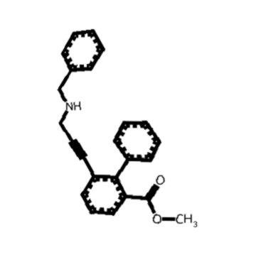 COC(=O)c1cccc(C#CCNCc2ccccc2)c1-c1ccccc1